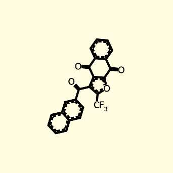 O=C1c2ccccc2C(=O)c2c1oc(C(F)(F)F)c2C(=O)c1ccc2ccccc2c1